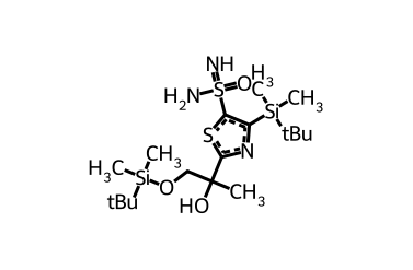 CC(O)(CO[Si](C)(C)C(C)(C)C)c1nc([Si](C)(C)C(C)(C)C)c(S(=N)(N)=O)s1